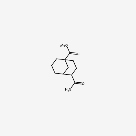 COC(=O)C12CCCC(C1)C(C(N)=O)CC2